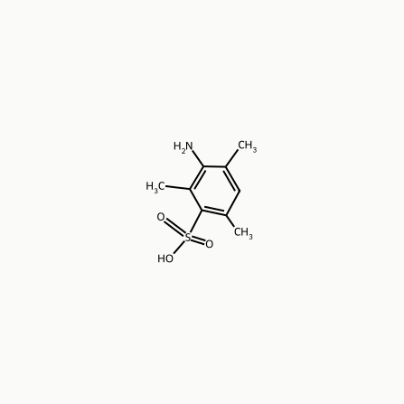 Cc1cc(C)c(S(=O)(=O)O)c(C)c1N